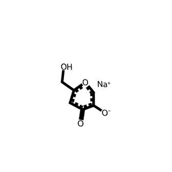 O=c1cc(CO)occ1[O-].[Na+]